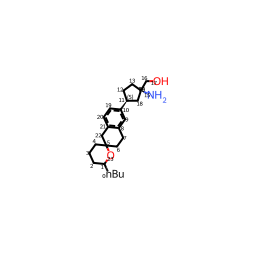 CCCCC1CCCC2(CCc3cc([C@H]4CC[C@](N)(CO)C4)ccc3C2)O1